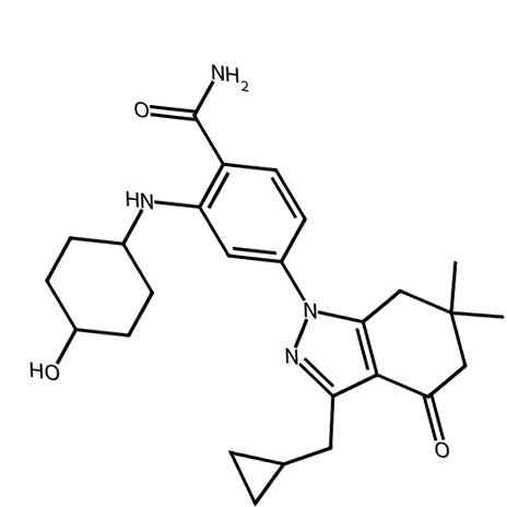 CC1(C)CC(=O)c2c(CC3CC3)nn(-c3ccc(C(N)=O)c(NC4CCC(O)CC4)c3)c2C1